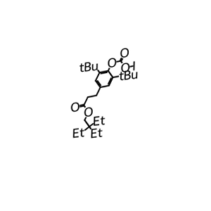 CCC(CC)(CC)COC(=O)CCc1cc(C(C)(C)C)c(OC(=O)OI)c(C(C)(C)C)c1